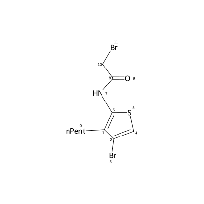 CCCCCc1c(Br)csc1NC(=O)CBr